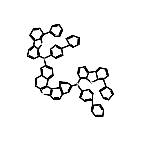 c1ccc(-c2ccc(N(c3ccc4c(ccc5oc6ccc7cc(N(c8ccc(-c9ccccc9)cc8)c8cccc9c8oc8c(-c%10ccccc%10)cccc89)ccc7c6c54)c3)c3cccc4c3oc3c(-c5ccccc5)cccc34)cc2)cc1